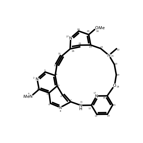 CNc1ncc2c3cc(ncc13)Nc1cccc(n1)OCCN(C)Cc1cc(ncc1OC)C#C2